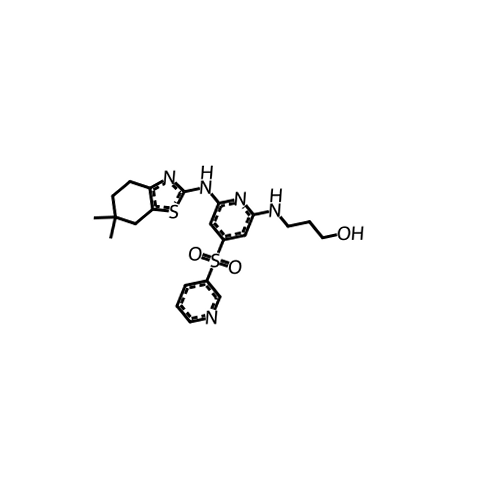 CC1(C)CCc2nc(Nc3cc(S(=O)(=O)c4cccnc4)cc(NCCCO)n3)sc2C1